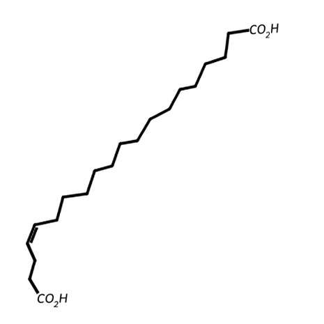 O=C(O)CC/C=C\CCCCCCCCCCCCCCC(=O)O